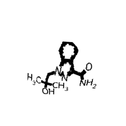 CC(C)(O)Cn1nc(C(N)=O)c2ccccc21